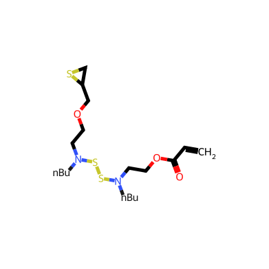 C=CC(=O)OCCN(CCCC)SSN(CCCC)CCOCC1CS1